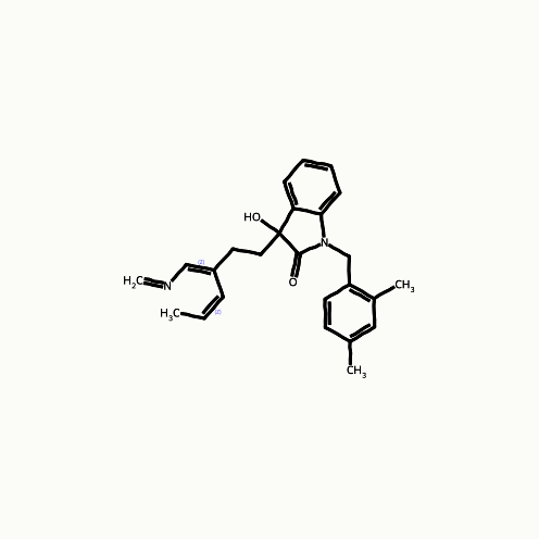 C=N/C=C(\C=C/C)CCC1(O)C(=O)N(Cc2ccc(C)cc2C)c2ccccc21